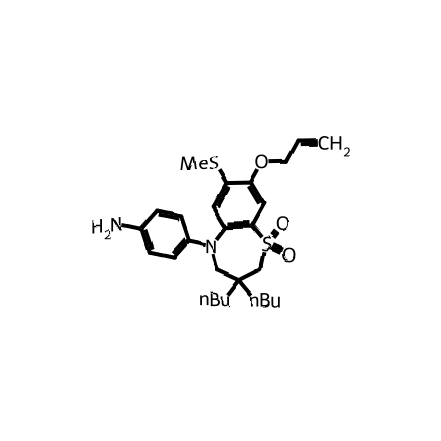 C=CCOc1cc2c(cc1SC)N(c1ccc(N)cc1)CC(CCCC)(CCCC)CS2(=O)=O